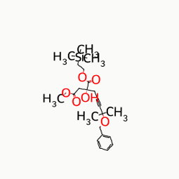 COC(=O)C[C@](O)(CC#CC(C)(C)OCc1ccccc1)C(=O)OCC[Si](C)(C)C